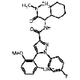 COc1cccc(OC)c1-c1cc(C(=O)N[C@H](C(=O)N(C)C)C2CCCCC2)nn1-c1ccc(F)cc1